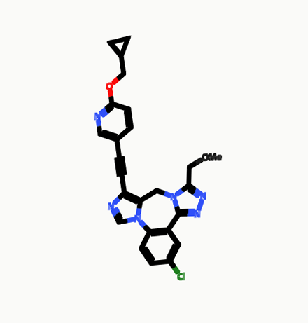 COCc1nnc2n1Cc1c(C#Cc3ccc(OCC4CC4)nc3)ncn1-c1ccc(Cl)cc1-2